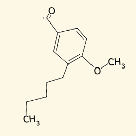 CCCCCc1cc([C]=O)ccc1OC